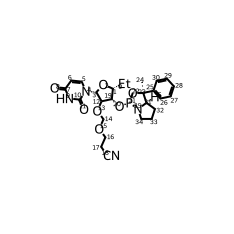 CC[C@H]1O[C@@H](n2ccc(=O)[nH]c2=O)C(OCOCCC#N)[C@H]1O[P@]1O[C@@](C)(c2ccccc2)[C@H]2CCCN21